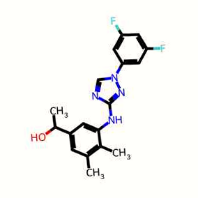 Cc1cc(C(C)O)cc(Nc2ncn(-c3cc(F)cc(F)c3)n2)c1C